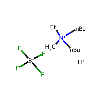 CCCC[N+](C)(CC)CCCC.F[B-](F)(F)F.[H+]